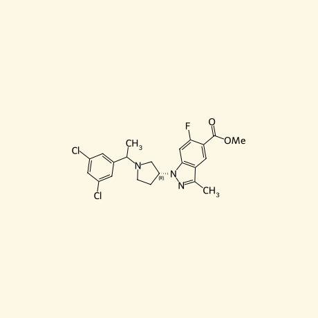 COC(=O)c1cc2c(C)nn([C@@H]3CCN(C(C)c4cc(Cl)cc(Cl)c4)C3)c2cc1F